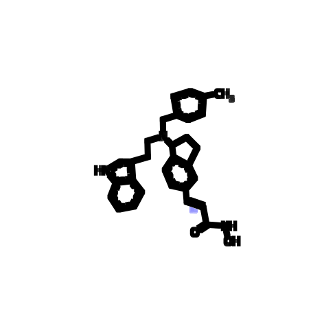 Cc1ccc(CN(CCc2c[nH]c3ccccc23)C2CCc3cc(/C=C/C(=O)NO)ccc32)cc1